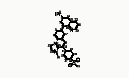 CC(C)c1cc(-c2cccc(C=C(c3ccc(S(C)(=O)=O)cc3)c3nccn3C)c2)c2ncccc2c1